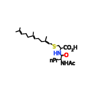 CCCC(NC(C)=O)C(=O)NC(CSC/C=C(\C)CC/C=C(\C)CCC=C(C)C)C(=O)O